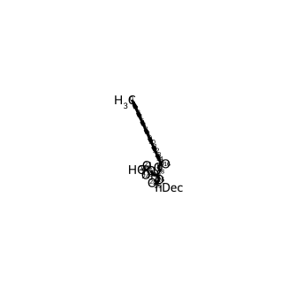 CC#CC#CC#CC#CC#CC#CC#CC(=O)OC[C@H](COP(=O)(O)O)OC(=O)CCCCCCCCCC